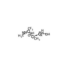 Cc1cn(-c2cc(NC(=O)c3ccc(C)c(C#Cc4cnc(NCCO)nc4)c3)cc(C(F)(F)F)c2)cn1